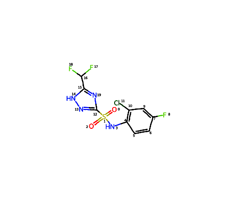 O=S(=O)(Nc1ccc(F)cc1Cl)c1n[nH]c(C(F)F)n1